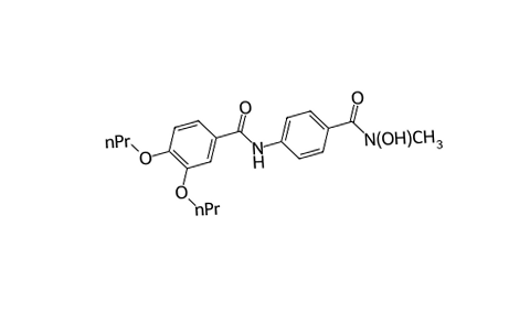 CCCOc1ccc(C(=O)Nc2ccc(C(=O)N(C)O)cc2)cc1OCCC